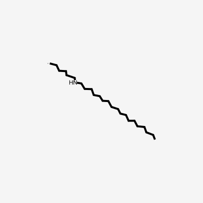 [CH2]CCCCCNCCCCCCCCCCCCCCCCCC